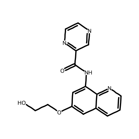 O=C(Nc1cc(OCCO)cc2cccnc12)c1cnccn1